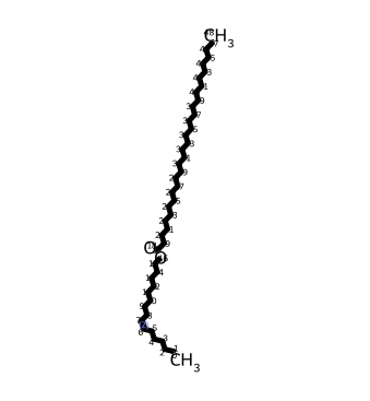 CCCCCC/C=C\CCCCCCCCOC(=O)CCCCCCCCCCCCCCCCCCCCCCCCCCCCCC